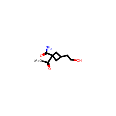 COC(=O)C1(C(N)=O)CC(CCO)C1